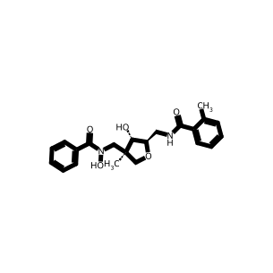 Cc1ccccc1C(=O)NC[C@H]1OC[C@@](C)(CN(O)C(=O)c2ccccc2)[C@@H]1O